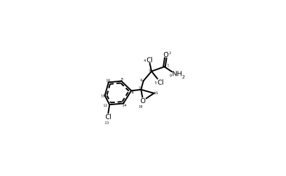 NC(=O)C(Cl)(Cl)CC1(c2cccc(Cl)c2)CO1